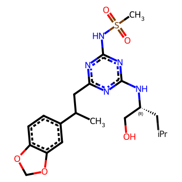 CC(C)C[C@H](CO)Nc1nc(CC(C)c2ccc3c(c2)OCO3)nc(NS(C)(=O)=O)n1